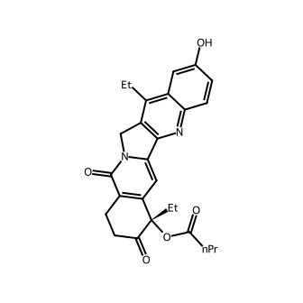 CCCC(=O)O[C@]1(CC)C(=O)CCc2c1cc1n(c2=O)Cc2c-1nc1ccc(O)cc1c2CC